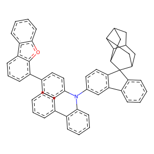 c1ccc(-c2ccccc2N(c2ccc(-c3cccc4c3oc3ccccc34)cc2)c2ccc3c(c2)-c2ccccc2C32C3CC4CC5CC2C4C5C3)cc1